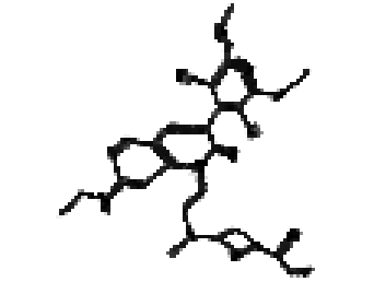 C=CC(=O)N1CC(N(C)CCn2c(=O)c(-c3c(Cl)c(OC)cc(OC)c3Cl)cc3cnc(NCC)cc32)C1